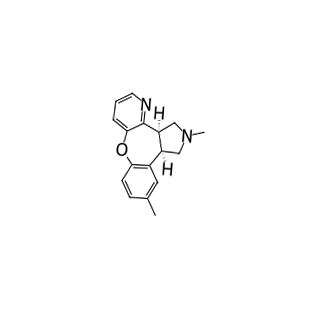 Cc1ccc2c(c1)[C@@H]1CN(C)C[C@@H]1c1ncccc1O2